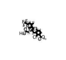 COC(=O)c1ccc(Cl)c(Cc2cc3c(C)cc(C(F)(F)F)nc3n2CC(=O)O)c1Cl